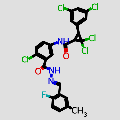 Cc1ccc(F)c(/C=N/NC(=O)c2cc(NC(=O)C3C(c4cc(Cl)cc(Cl)c4)C3(Cl)Cl)ccc2Cl)c1